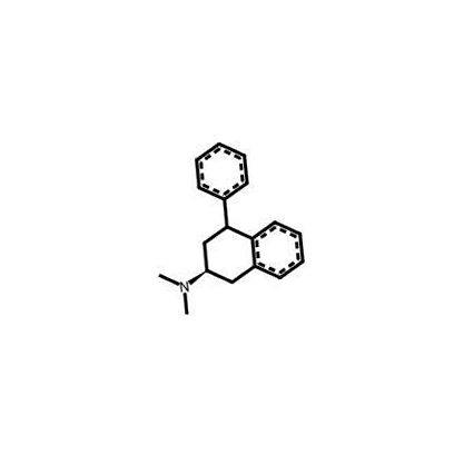 CN(C)[C@@H]1Cc2ccccc2C(c2ccccc2)C1